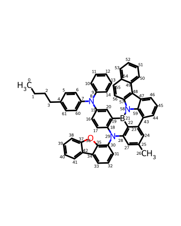 CCCCc1ccc(N(c2ccccc2)c2ccc3c(c2)B2c4c(cc(C)cc4N3c3cccc4c3oc3ccccc34)-c3cccc4c5c6ccccc6ccc5n2c34)cc1